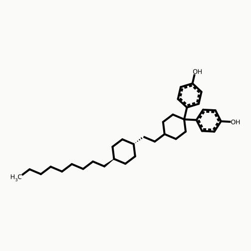 CCCCCCCCC[C@H]1CC[C@H](CCC2CCC(c3ccc(O)cc3)(c3ccc(O)cc3)CC2)CC1